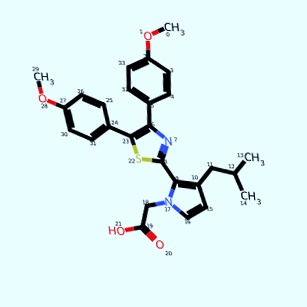 COc1ccc(-c2nc(-c3c(CC(C)C)ccn3CC(=O)O)sc2-c2ccc(OC)cc2)cc1